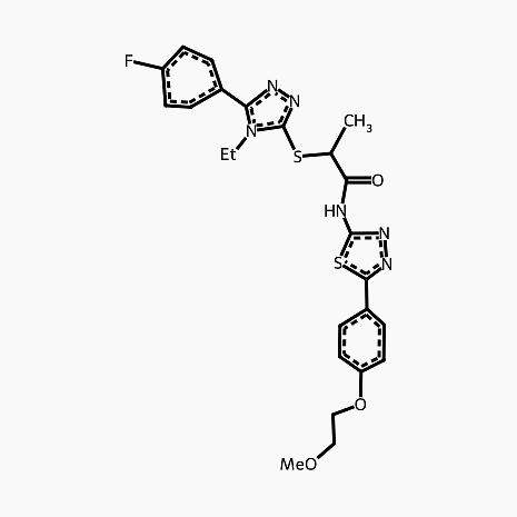 CCn1c(SC(C)C(=O)Nc2nnc(-c3ccc(OCCOC)cc3)s2)nnc1-c1ccc(F)cc1